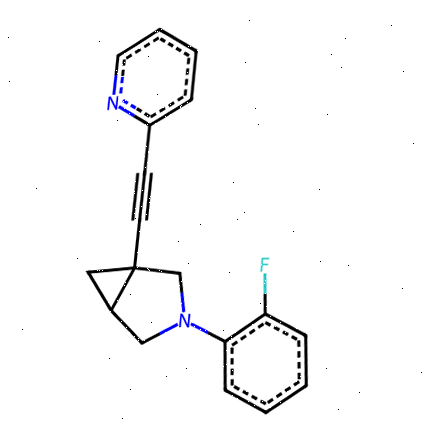 Fc1ccccc1N1CC2CC2(C#Cc2ccccn2)C1